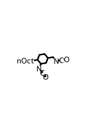 CCCCCCCCC1CCC(CN=C=O)CC1N=C=O